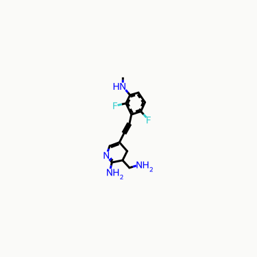 CNc1ccc(F)c(C#CC2=CN=C(N)C(CN)C2)c1F